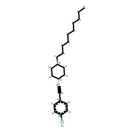 CCCCCCCCCC[C@H]1CC[C@H](C#Cc2ccc(Cl)cc2)CC1